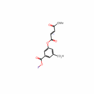 COC(=O)/C=C/C(=O)Oc1cc(C(=O)O)cc(C(=O)OI)c1